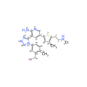 CCNCCc1sc(-c2cnc(N)c(-c3nnnn3-c3ccc(C)c(CI)c3)c2)cc1C